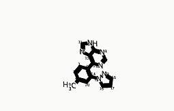 Cc1ccc(-c2ncnc3[nH]cnc23)c(-n2cccn2)c1